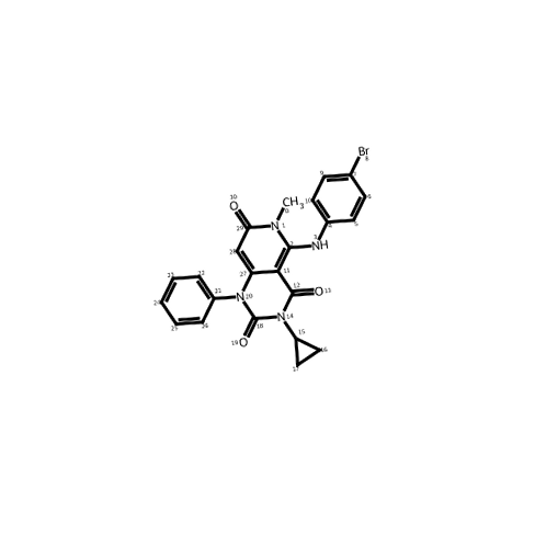 Cn1c(Nc2ccc(Br)cc2)c2c(=O)n(C3CC3)c(=O)n(-c3ccccc3)c2cc1=O